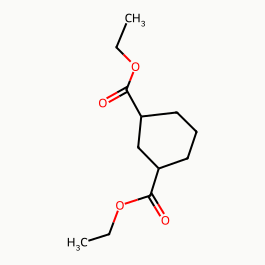 CCOC(=O)C1CCCC(C(=O)OCC)C1